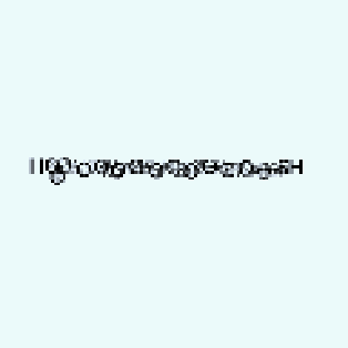 O=C(O)OCCOCCOCCOCCOCCOCCOCCOCCOCCOCCOCCOCCS